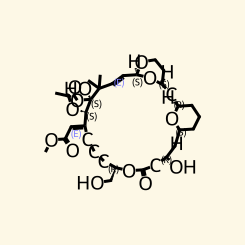 COC(=O)/C=C1\CCC[C@H](CO)OC(=O)C[C@H](O)C[C@@H]2CCC[C@H](C[C@@H]3CCO[C@H](/C=C/C(C)(C)[C@](O)(OC)[C@H]1OC(C)=O)O3)O2